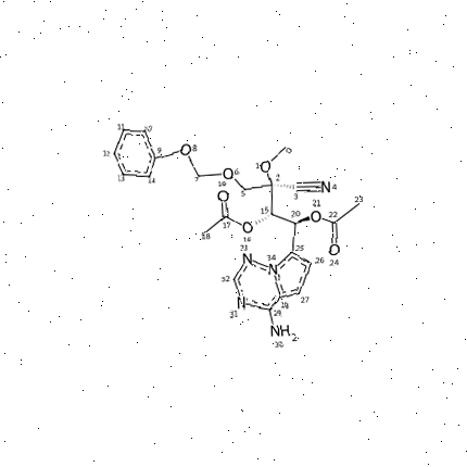 CO[C@](C#N)(COCOc1ccccc1)[C@@H](OC(C)=O)[C@@H](OC(C)=O)c1ccc2c(N)ncnn12